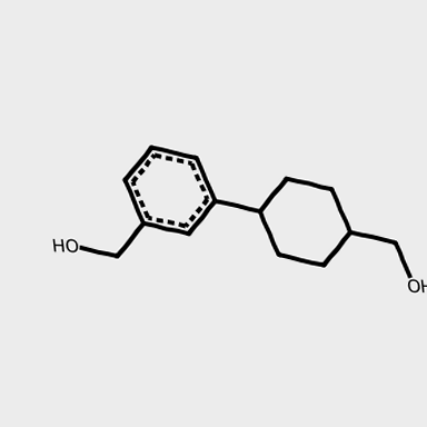 OCc1cccc(C2CCC(CO)CC2)c1